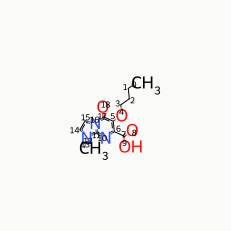 CCCCOc1c(C(=O)O)nc2n(C)ccn2c1=O